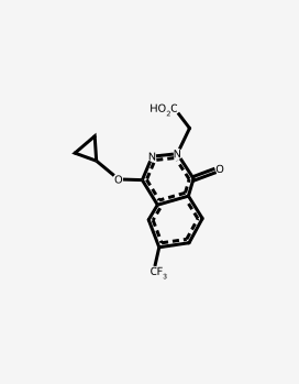 O=C(O)Cn1nc(OC2CC2)c2cc(C(F)(F)F)ccc2c1=O